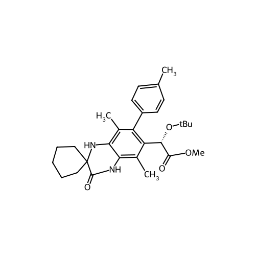 COC(=O)[C@@H](OC(C)(C)C)c1c(C)c2c(c(C)c1-c1ccc(C)cc1)NC1(CCCCC1)C(=O)N2